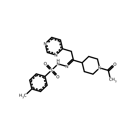 CC(=O)N1CCC(C(Cc2ccncn2)=NNS(=O)(=O)c2ccc(C)cc2)CC1